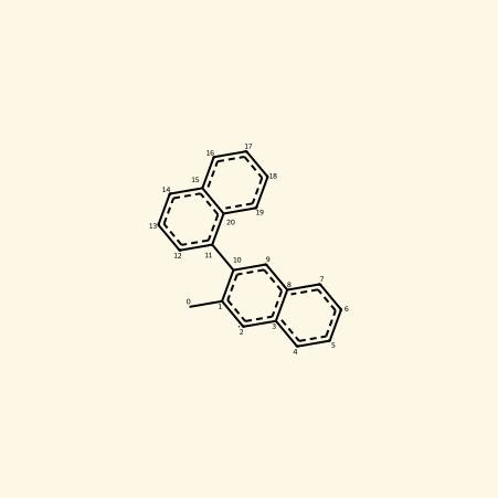 Cc1[c]c2ccccc2cc1-c1cccc2ccccc12